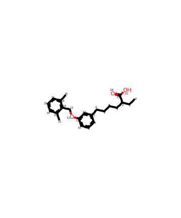 CCC(CCCCc1cccc(OCc2c(C)cccc2C)c1)C(=O)O